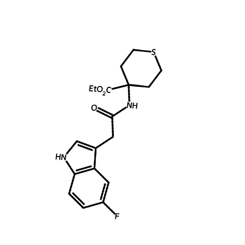 CCOC(=O)C1(NC(=O)Cc2c[nH]c3ccc(F)cc23)CCSCC1